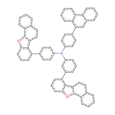 c1cc(-c2cccc3oc4c5ccccc5ccc4c23)cc(N(c2ccc(-c3cc4ccccc4c4ccccc34)cc2)c2ccc(-c3cccc4oc5c6ccccc6ccc5c34)cc2)c1